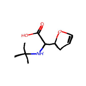 CC(C)(C)NC(C(=O)O)C1CC=CO1